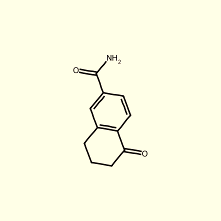 NC(=O)c1ccc2c(c1)CCCC2=O